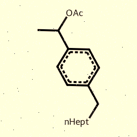 CCCCCCCCc1ccc(C(C)OC(C)=O)cc1